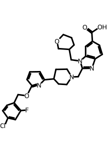 O=C(O)c1ccc2nc(CN3CCC(c4cccc(OCc5ccc(Cl)cc5F)n4)CC3)n(CC3CCCOC3)c2c1